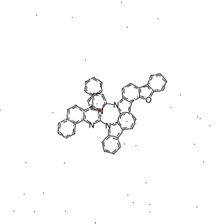 c1ccc(-c2nc(-n3c4ccccc4c4ccc5c6c7oc8ccccc8c7ccc6n(-c6ccccc6)c5c43)nc3c2ccc2ccccc23)cc1